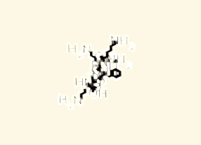 C[C@H](NC(=O)[C@H](Cc1ccccc1)NC(=O)[C@H](CCCCN)NC(=O)[C@@H](N)CCCCN)C(=O)N[C@@H](CCCCN)C(=O)O